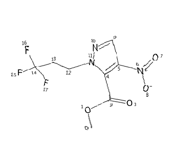 COC(=O)c1c([N+](=O)[O-])cnn1CCC(F)(F)F